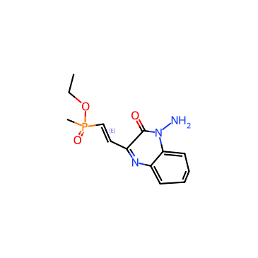 CCOP(C)(=O)/C=C/c1nc2ccccc2n(N)c1=O